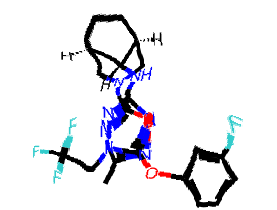 Cc1noc(N2C[C@H]3CC[C@@H](C2)[C@@H]3Nc2nc(Oc3cccc(F)c3)n(CC(F)(F)F)n2)n1